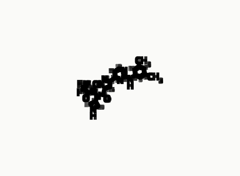 Cc1cc(C)cc(Nc2nccc(-c3cc(C(=O)N(OC(=O)C(F)(F)F)C4CNC4)n(C)n3)n2)c1